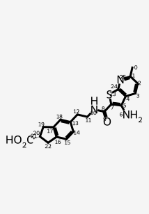 Cc1ccc2c(N)c(C(=O)NCCc3ccc4c(c3)C[C@@H](C(=O)O)C4)sc2n1